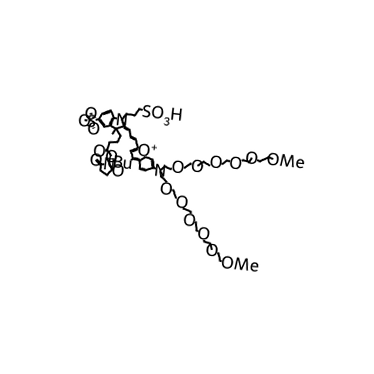 COCCOCCOCCOCCOCCOCCN(CCOCCOCCOCCOCCOCCOC)c1ccc2c(C(C)(C)C)cc(/C=C/C=C3/N(CCCS(=O)(=O)O)c4ccc(S(=O)(=O)[O-])cc4C3(C)CCCC(=O)ON3C(=O)CCC3=O)[o+]c2c1